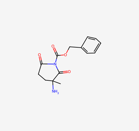 CC1(N)CCC(=O)N(C(=O)OCc2ccccc2)C1=O